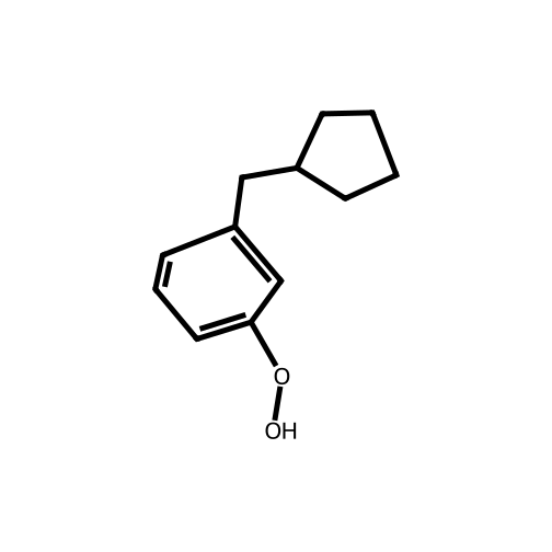 OOc1cccc(CC2CCCC2)c1